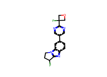 FC1CCn2c1nc1ccc(-c3cnc(C4(F)COC4)nc3)cc12